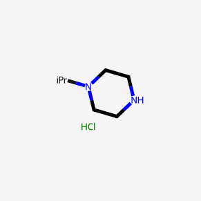 CC(C)N1CCNCC1.Cl